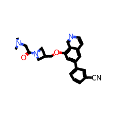 CN(C)CC(=O)N1CC(COc2cc(-c3cccc(C#N)c3)cc3ccncc23)C1